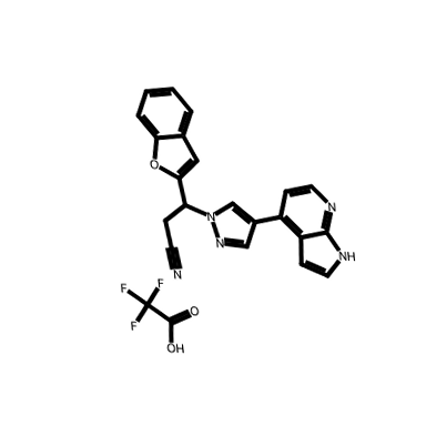 N#CCC(c1cc2ccccc2o1)n1cc(-c2ccnc3[nH]ccc23)cn1.O=C(O)C(F)(F)F